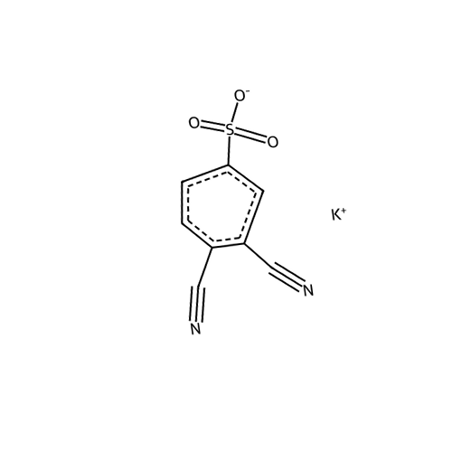 N#Cc1ccc(S(=O)(=O)[O-])cc1C#N.[K+]